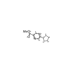 COC(=O)c1cnc(C2CCCC2)cn1